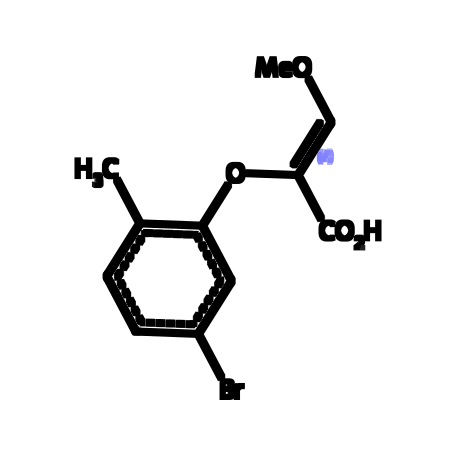 CO/C=C(\Oc1cc(Br)ccc1C)C(=O)O